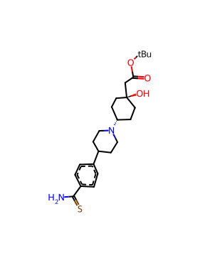 CC(C)(C)OC(=O)C[C@]1(O)CC[C@H](N2CCC(c3ccc(C(N)=S)cc3)CC2)CC1